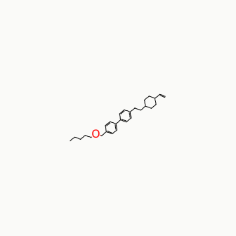 C=CC1CCC(CCc2ccc(-c3ccc(COCCCCC)cc3)cc2)CC1